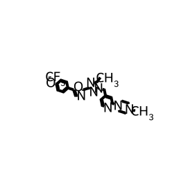 Cc1nc(-c2ncc(-c3ccc(OC(F)(F)F)cc3)o2)nn1Cc1ccnc(N2CCN(C)CC2)c1